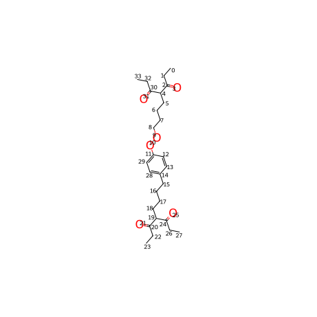 CCC(=O)C(CCCCOOc1ccc(CCCCC(C(=O)CC)C(=O)CC)cc1)C(=O)CC